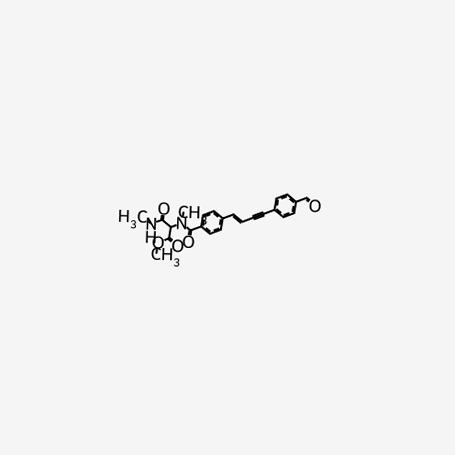 CNC(=O)C(C(=O)OC)N(C)C(=O)c1ccc(C=CC#Cc2ccc(C=O)cc2)cc1